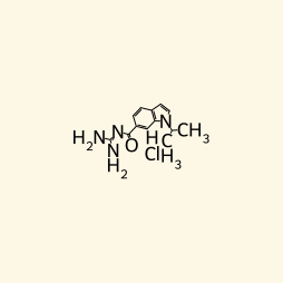 CC(C)n1ccc2ccc(C(=O)N=C(N)N)cc21.Cl